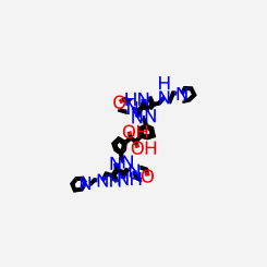 OC(c1cccc(-c2nc(N3CCOCC3)c3[nH]cc(CNCCN4CCCCC4)c3n2)c1)C(O)c1cccc(-c2nc(N3CCOCC3)c3[nH]cc(CNCCN4CCCCC4)c3n2)c1